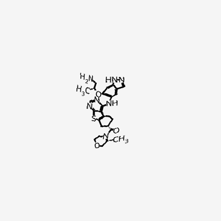 C[C@@H](CN)Oc1cc2[nH]ncc2cc1Nc1ncnc2sc3c(c12)CC[C@H](C(=O)N1CCOC[C@@H]1C)C3